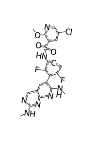 CNc1ncc2cc(-c3c(F)ccc(NS(=O)(=O)c4cc(Cl)cnc4OC)c3F)c(NC)nc2n1